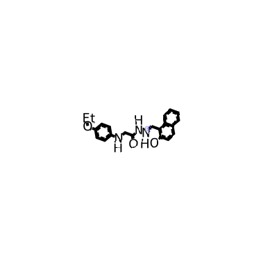 CCOc1ccc(NCC(=O)N/N=C/c2c(O)ccc3ccccc23)cc1